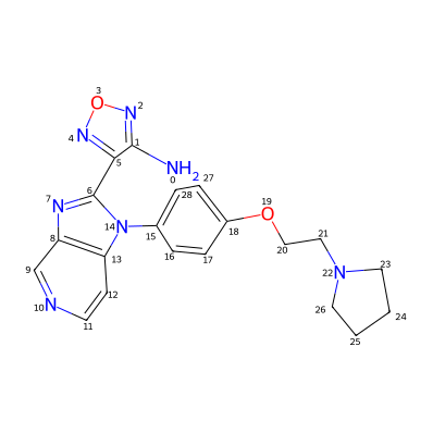 Nc1nonc1-c1nc2cnccc2n1-c1ccc(OCCN2CCCC2)cc1